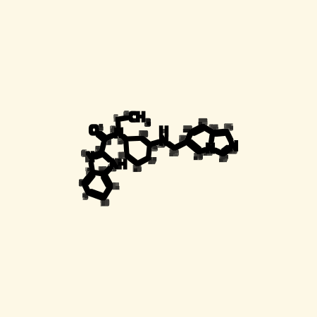 CCN(C(=O)c1nc2ccccc2[nH]1)C1CCCC(NCc2ccc3cncn3c2)C1